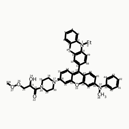 CCN1c2ccccc2Sc2cc(-c3c4ccc(=[N+]5CCN(C(=O)C(O)COOI)CC5)cc-4oc4cc(N(C)c5ccccc5)ccc34)ccc21